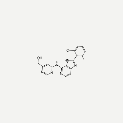 OCc1cc(Nc2nccc3nc(-c4c(F)cccc4Cl)[nH]c23)ncn1